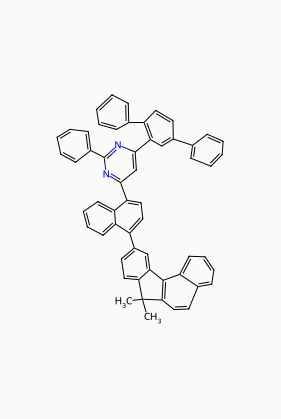 CC1(C)c2ccc(-c3ccc(-c4cc(-c5cc(-c6ccccc6)ccc5-c5ccccc5)nc(-c5ccccc5)n4)c4ccccc34)cc2-c2c1ccc1ccccc21